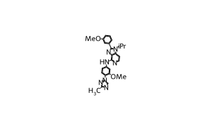 COc1cccc(-c2nc3c(Nc4ccc(-n5cnc(C)n5)c(OC)c4)nccc3n2C(C)C)c1